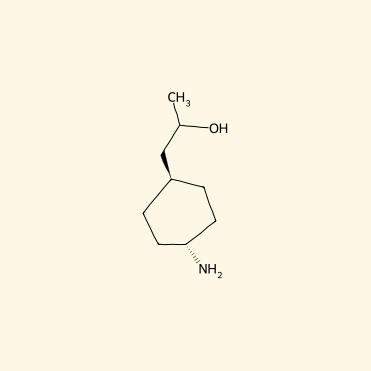 CC(O)C[C@H]1CC[C@H](N)CC1